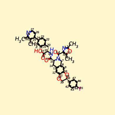 Cc1nc(C(=O)N2Cc3cc4c(cc3C[C@H]2C(=O)N[C@@H](Cc2ccc(-c3ccnc(C)c3C)cc2)C(=O)O)OC[C@H](c2ccc(I)cc2)O4)c(C)o1